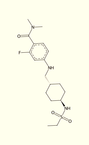 CCS(=O)(=O)N[C@H]1CC[C@H](CNc2ccc(C(=O)N(C)C)c(F)c2)CC1